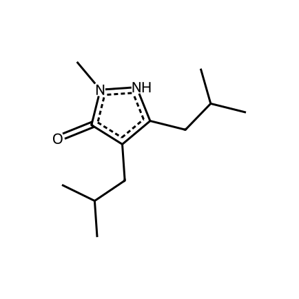 CC(C)Cc1[nH]n(C)c(=O)c1CC(C)C